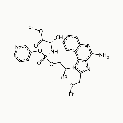 CCCC[C@@H](CO[P@](=O)(N[C@@H](C)C(=O)OC(C)C)Oc1cccnc1)n1c(COCC)nc2c(N)nc3ccccc3c21